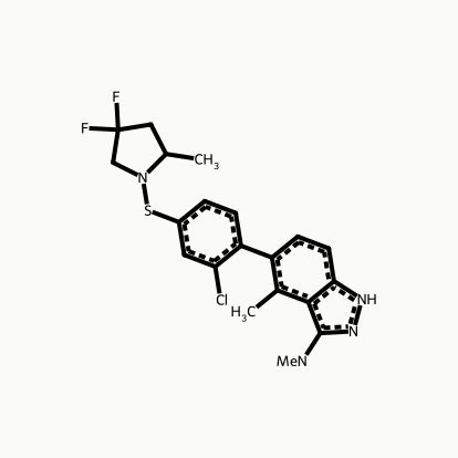 CNc1n[nH]c2ccc(-c3ccc(SN4CC(F)(F)CC4C)cc3Cl)c(C)c12